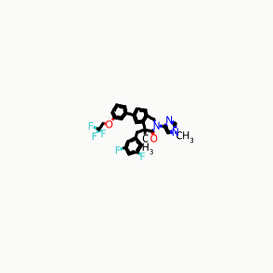 Cn1cnc(N2Cc3ccc(-c4cccc(OCC(F)(F)F)c4)cc3C(C)(Cc3cc(F)cc(F)c3)C2=O)c1